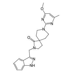 COc1cc(C)nc(N2CCC3(CCN(Cc4n[nH]c5ccccc45)C3=O)CC2)n1